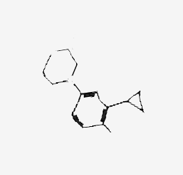 C[C@@H]1CN(c2ccc(F)c(C3CC3)c2)CCO1